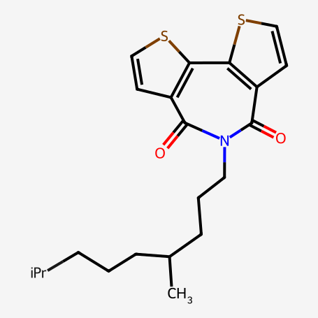 CC(C)CCCC(C)CCCn1c(=O)c2ccsc2c2sccc2c1=O